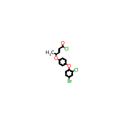 CC(/C=C/C(=O)Cl)Oc1ccc(Oc2ccc(Br)cc2Cl)cc1